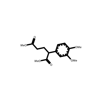 COC(=O)CCC(C(=O)OC)c1ccc(OC)c(OC)c1